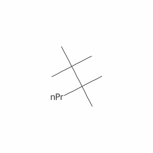 CCCC(C)(C)C(C)(C)C